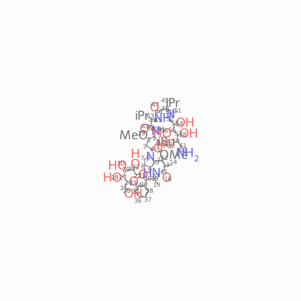 CCC(C)C(C(CC(=O)N1CCCC1C(OC)C(C)C(=O)NC(C)C(OC1OC(CO)C(O)C(O)C1O)c1ccccc1)OC)N(C)C(=O)C(NC(=O)C(C(C)C)N(C)CC(O)C(O)C(O)C(O)CN)C(C)C